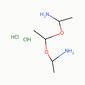 CC(N)OC(C)OC(C)N.Cl.Cl